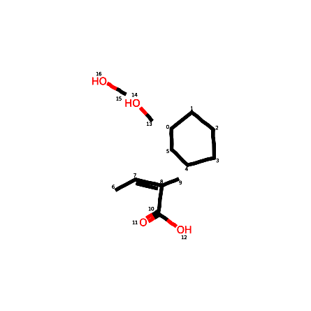 C1CCCCC1.CC=C(C)C(=O)O.CO.CO